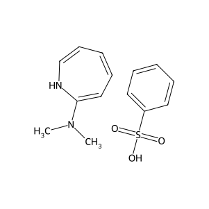 CN(C)C1=CC=CC=CN1.O=S(=O)(O)c1ccccc1